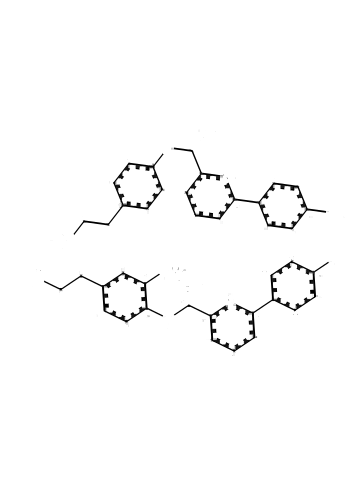 CCCC[C@@H](Oc1ccc(CCC(=O)O)cc1)c1cccc(-c2ccc(C(F)(F)F)cc2)n1.CCCC[C@@H](Oc1ccc(CCC(=O)O)cc1OC)c1cccc(-c2ccc(C(F)(F)F)cc2)n1